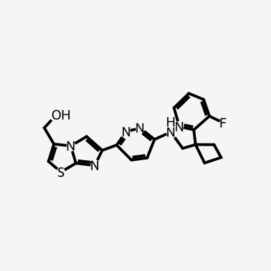 OCc1csc2nc(-c3ccc(NCC4(c5ncccc5F)CCC4)nn3)cn12